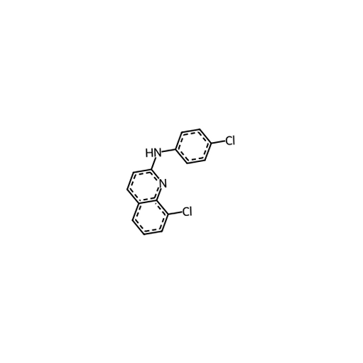 Clc1ccc(Nc2ccc3cccc(Cl)c3n2)cc1